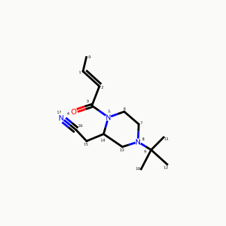 C/C=C/C(=O)N1CCN(C(C)(C)C)CC1CC#N